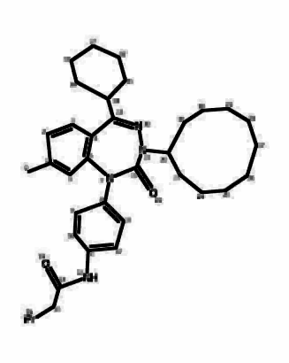 Cc1ccc2c(c1)N(c1ccc(NC(=O)CC(C)C)cc1)C(=O)N(C1CCCCCCCCC1)N=C2C1CCCCC1